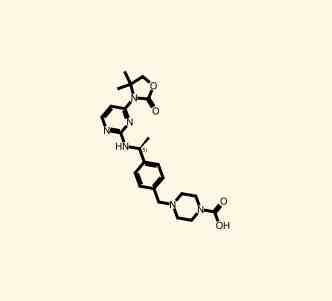 C[C@H](Nc1nccc(N2C(=O)OCC2(C)C)n1)c1ccc(CN2CCN(C(=O)O)CC2)cc1